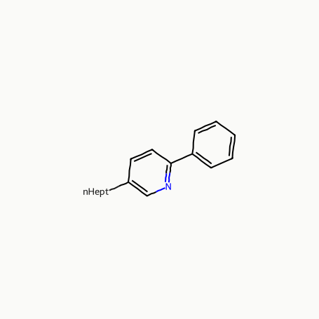 CCCCCCCc1ccc(-c2ccccc2)nc1